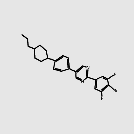 CCCC1CCC(c2ccc(-c3cnc(-c4cc(F)c(Br)c(F)c4)nc3)cc2)CC1